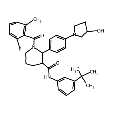 Cc1cccc(F)c1C(=O)N1CCCC(C(=O)Nc2cccc(C(C)(C)C)c2)C1c1ccc(N2CCC(O)C2)cc1